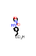 O=C(O)C=Cc1ccc(NC(=O)N2CCOCC2)cc1